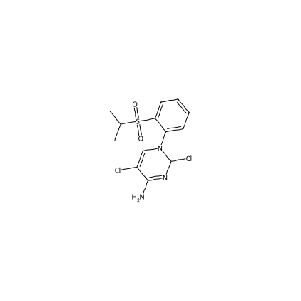 CC(C)S(=O)(=O)c1ccccc1N1C=C(Cl)C(N)=NC1Cl